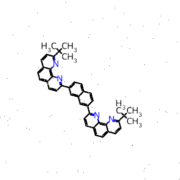 CC(C)(C)c1ccc2ccc3ccc(-c4ccc5ccc(-c6ccc7ccc8ccc(C(C)(C)C)nc8c7n6)cc5c4)nc3c2n1